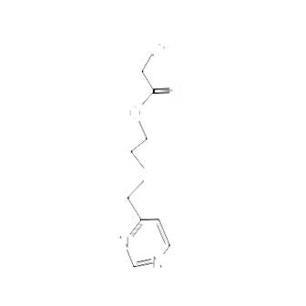 CC(C)CC(=O)OCCSCc1ccncn1